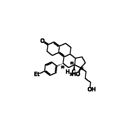 CCc1ccc([C@H]2C[C@]3(C)C(CC[C@]3(O)CCCO)C3CCC4=CC(=O)CCC4=C32)cc1